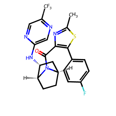 Cc1nc(C(=O)N2[C@@H]3CC[C@H]2[C@H](Nc2cnc(C(F)(F)F)cn2)C3)c(-c2ccc(F)cc2)s1